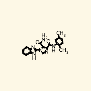 Cc1ccc(C)c(NC(=O)c2ncn(-c3nc4ccccc4[nH]3)c2C(N)=O)c1